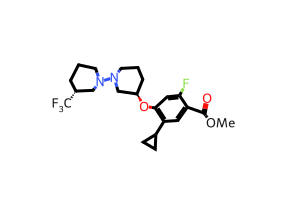 COC(=O)c1cc(C2CC2)c(O[C@@H]2CCCN(N3CCC[C@@H](C(F)(F)F)C3)C2)cc1F